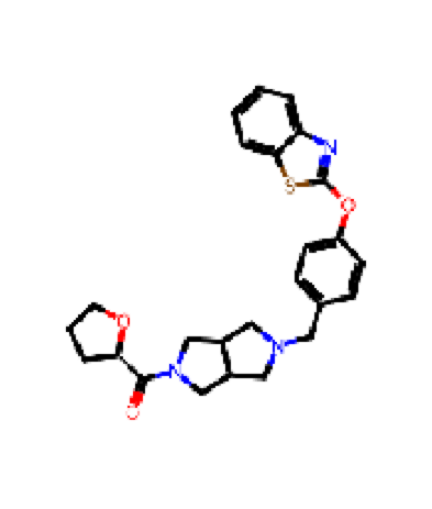 O=C([C@H]1CCCO1)N1CC2CN(Cc3ccc(Oc4nc5ccccc5s4)cc3)CC2C1